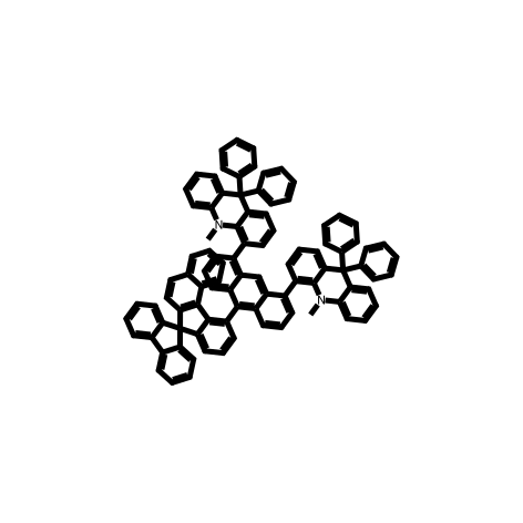 CN1c2ccccc2C(c2ccccc2)(c2ccccc2)c2cccc(-c3cccc4c(-c5cccc6c5-c5c(ccc7ccccc57)C65c6ccccc6-c6ccccc65)c5cccc(-c6cccc7c6N(C)c6ccccc6C7(c6ccccc6)c6ccccc6)c5cc34)c21